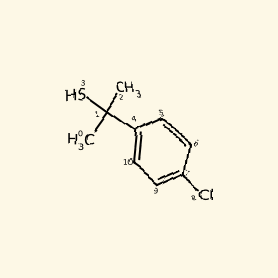 CC(C)(S)c1ccc(Cl)cc1